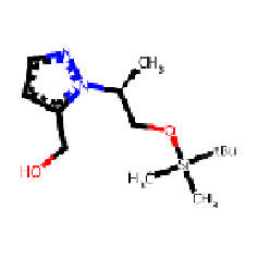 C[C@@H](CO[Si](C)(C)C(C)(C)C)n1nccc1CO